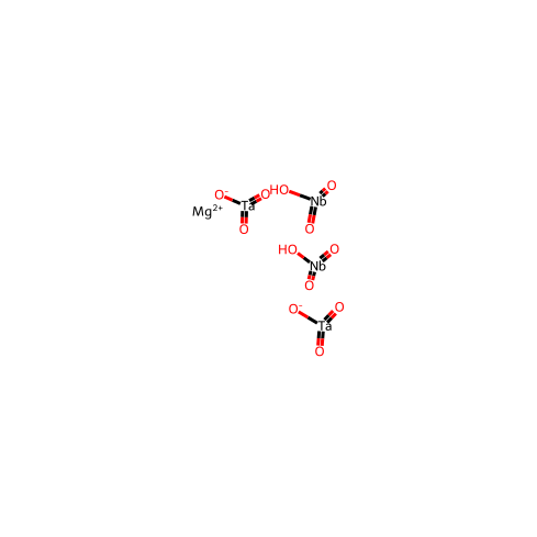 [Mg+2].[O]=[Nb](=[O])[OH].[O]=[Nb](=[O])[OH].[O]=[Ta](=[O])[O-].[O]=[Ta](=[O])[O-]